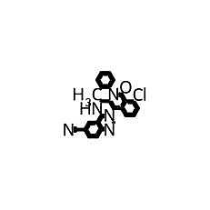 C[C@H](Nc1ncnc2ccc(C#N)cc12)c1cc2cccc(Cl)c2c(=O)n1-c1ccccc1